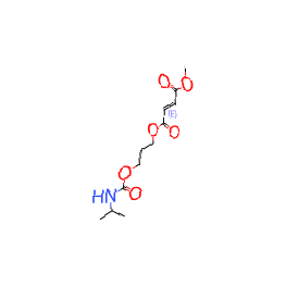 COC(=O)/C=C/C(=O)OCCCOC(=O)NC(C)C